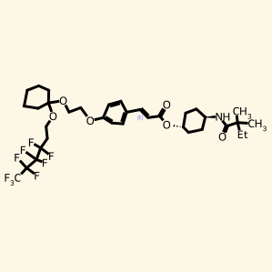 CCC(C)(C)C(=O)N[C@H]1CC[C@H](OC(=O)/C=C/c2ccc(OCCOC3(OCCC(F)(F)C(F)(F)C(F)(F)C(F)(F)F)CCCCC3)cc2)CC1